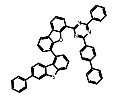 c1ccc(-c2ccc(-c3nc(-c4ccccc4)nc(-c4cccc5c4oc4c(-c6cccc7sc8cc(-c9ccccc9)ccc8c67)cccc45)n3)cc2)cc1